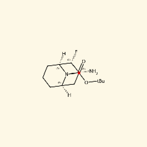 CC(C)(C)OC(=O)N1[C@@H]2CCC[C@H]1[C@H](F)[C@H](N)C2